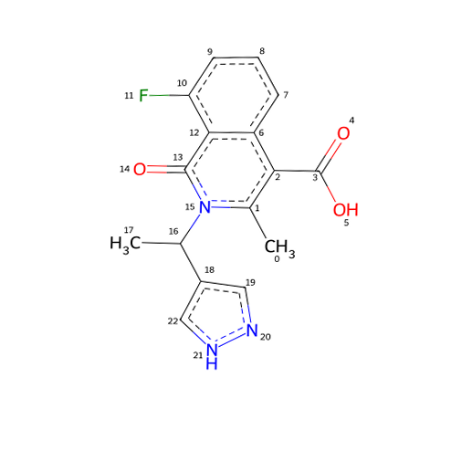 Cc1c(C(=O)O)c2cccc(F)c2c(=O)n1C(C)c1cn[nH]c1